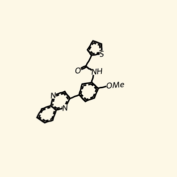 COc1ccc(-c2cnc3ccccc3n2)cc1NC(=O)c1cccs1